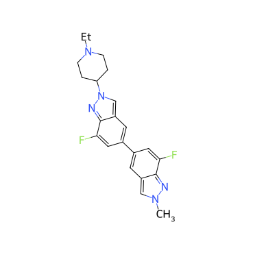 CCN1CCC(n2cc3cc(-c4cc(F)c5nn(C)cc5c4)cc(F)c3n2)CC1